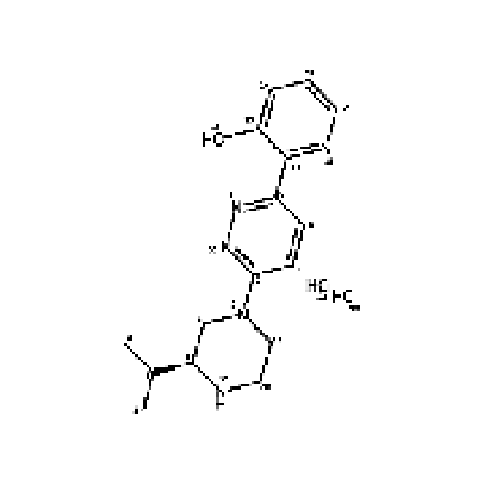 CC(C)[C@H]1CN(c2ccc(-c3ncccc3O)nn2)CCN1.Cl.Cl